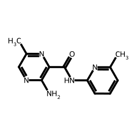 Cc1cccc(NC(=O)c2nc(C)cnc2N)n1